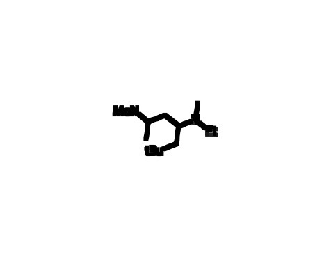 CCN(C)C(CC(C)NC)CC(C)(C)C